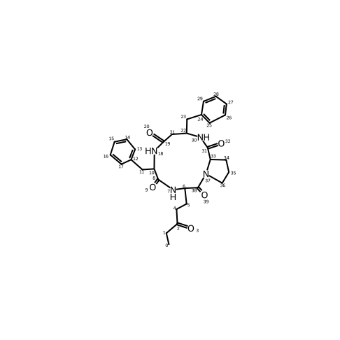 CCC(=O)CCC1NC(=O)C(Cc2ccccc2)NC(=O)CC(Cc2ccccc2)NC(=O)C2CCCN2C1=O